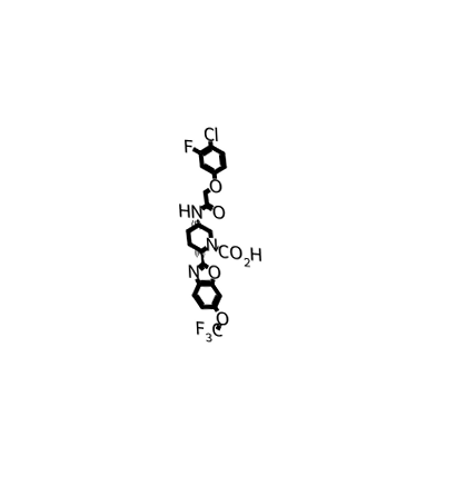 O=C(COc1ccc(Cl)c(F)c1)N[C@H]1CC[C@H](c2nc3ccc(OC(F)(F)F)cc3o2)N(C(=O)O)C1